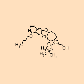 CCCCOc1nccc2cc(OC3CCCC(CCCO)(NC(=O)OC(C)(C)C)CCC3)c(Cl)cc12